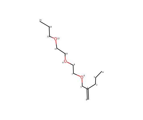 C=C(CCC)COCCOCCOCCC